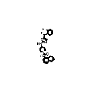 CCc1ccccc1C(=O)c1cnc(NC2CCN(S(=O)(=O)c3cccc4ccccc34)CC2)s1